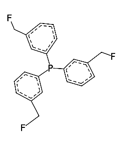 FCc1cccc(P(c2cccc(CF)c2)c2cccc(CF)c2)c1